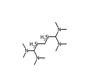 CN(C)C([SiH2]C[SiH2]C(N(C)C)N(C)C)N(C)C